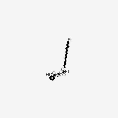 CCC=CCC=CCC=CCC=CCC=CCCOC(CC)C(=O)OCCNC(=O)c1ccccc1O